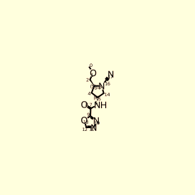 COC[C@@H]1C[C@@H](NC(=O)c2nnco2)CN1C#N